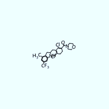 Cc1cc(C(F)(F)F)cc2c1CC(CC1=C(Cl)CCC(C(=O)N3CCOCC3)=C1Cl)N2